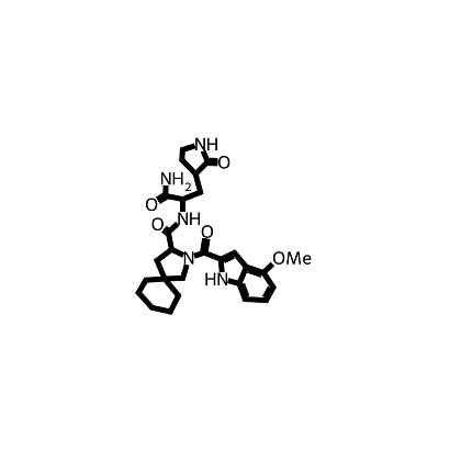 COc1cccc2[nH]c(C(=O)N3CC4(CCCCC4)CC3C(=O)NC(CC3CCNC3=O)C(N)=O)cc12